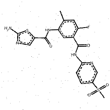 Cc1cc(F)c(C(=O)Nc2ccc(S(C)(=O)=O)cn2)cc1NC(=O)c1cnc(N)s1